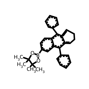 CC1(C)OB(c2ccc3c(-c4ccccc4)c4c(c(-c5ccccc5)c3c2)=CCCC=4)OC1(C)C